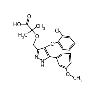 COc1cccc(-c2[nH]nc(COC(C)(C)C(=O)O)c2Cc2ccccc2Cl)c1